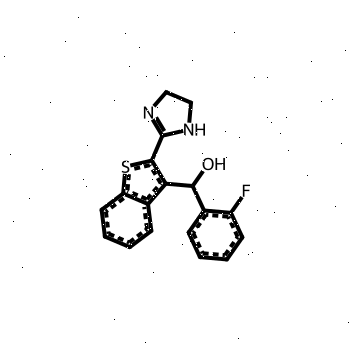 OC(c1ccccc1F)c1c(C2=NCCN2)sc2ccccc12